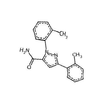 Cc1ccccc1-c1cc(C(N)=O)n(-c2ccccc2C)n1